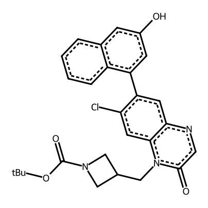 CC(C)(C)OC(=O)N1CC(Cn2c(=O)cnc3cc(-c4cc(O)cc5ccccc45)c(Cl)cc32)C1